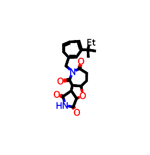 CCC(C)(C)C1=CC=CCC(CN2C(=O)CCC3OC4C(=O)NC(=O)C4C3C2=O)=C1